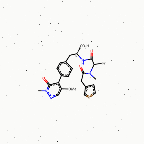 COc1cnn(C)c(=O)c1-c1ccc(C[C@H](NC(=O)C(C(C)C)N(C)C(=O)Cc2ccsc2)C(=O)O)cc1